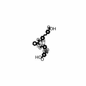 CN(c1ccc(C(=O)O)cc1)S(=O)(=O)c1cccc(C(=O)Nc2sc3c(c2C(=O)Nc2ccc(CCc4ccc(C(=O)O)cc4)cc2)CCCC3)c1